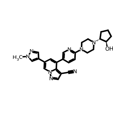 Cn1cc(-c2cc(-c3ccc(N4CCN([C@@H]5CCC[C@H]5O)CC4)nc3)c3c(C#N)cnn3c2)cn1